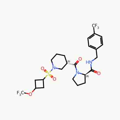 O=C(NCc1ccc(C(F)(F)F)cc1)[C@H]1CCCN1C(=O)[C@H]1CCCN(S(=O)(=O)C2CC(OC(F)(F)F)C2)C1